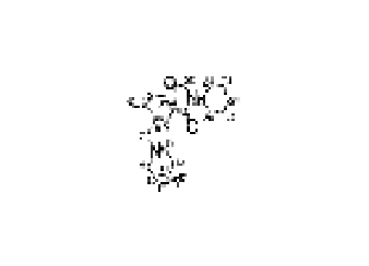 Cc1cc2c(cc1CN1CCC(F)(F)CC1)C(=O)N(C1CCCCC1)CO2